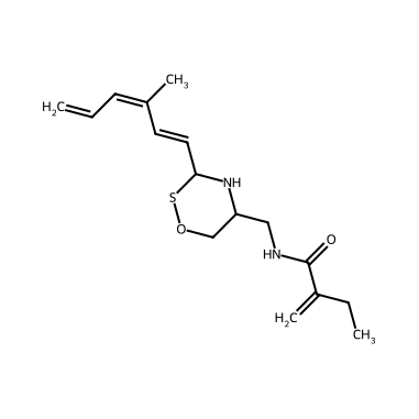 C=C/C=C(C)\C=C\C1NC(CNC(=O)C(=C)CC)COS1